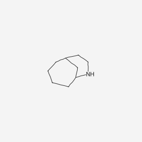 C1CCC2CC(C1)CCN2